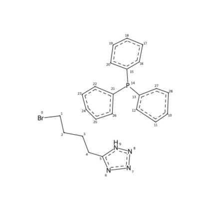 BrCCCCc1nnn[nH]1.c1ccc(P(c2ccccc2)c2ccccc2)cc1